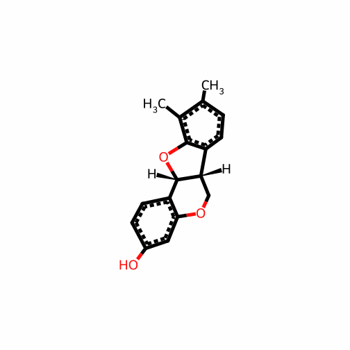 Cc1ccc2c(c1C)O[C@H]1c3ccc(O)cc3OC[C@@H]21